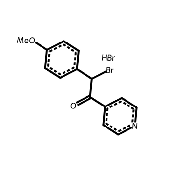 Br.COc1ccc(C(Br)C(=O)c2ccncc2)cc1